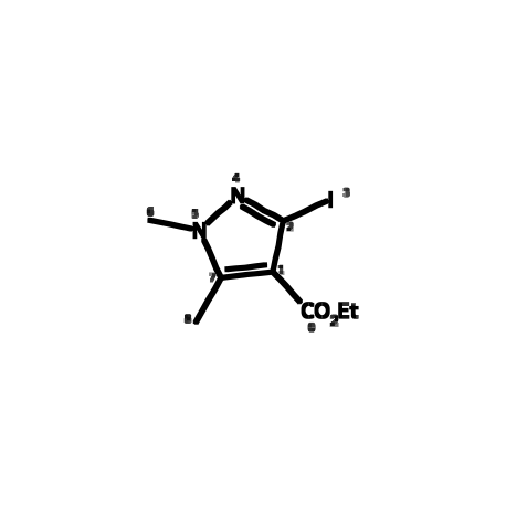 CCOC(=O)c1c(I)nn(C)c1C